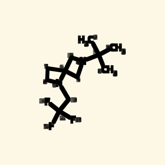 CC(C)(C)N1CC2(CCN2CC(F)(F)F)C1